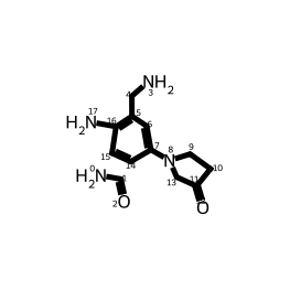 NC=O.NCc1cc(N2CCC(=O)C2)ccc1N